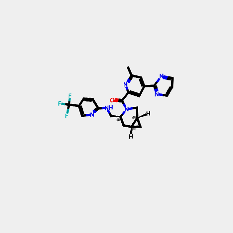 Cc1cc(-c2ncccn2)cc(C(=O)N2C[C@@H]3C[C@@H]3C[C@H]2CNc2ccc(C(F)(F)F)cn2)n1